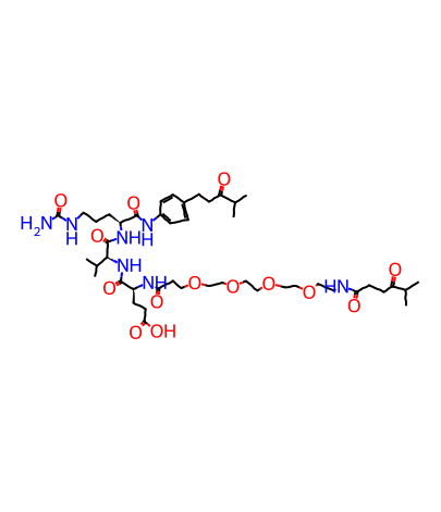 CC(C)C(=O)CCC(=O)NCCOCCOCCOCCOCCC(=O)N[C@@H](CCC(=O)O)C(=O)N[C@H](C(=O)N[C@@H](CCCNC(N)=O)C(=O)Nc1ccc(CCC(=O)C(C)C)cc1)C(C)C